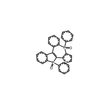 O=P1(c2ccccc2)C2=C(c3ccccc31)c1ccccc1P(=O)(c1ccccc1)c1ccoc12